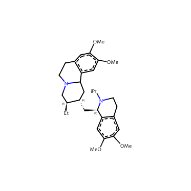 CC[C@H]1CN2CCc3cc(OC)c(OC)cc3C2C[C@@H]1C[C@@H]1c2cc(OC)c(OC)cc2CCN1C(C)C